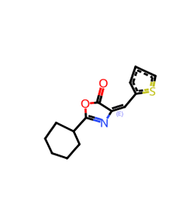 O=C1OC(C2CCCCC2)=N/C1=C/c1cccs1